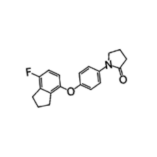 O=C1CCCN1c1ccc(Oc2ccc(F)c3c2CCC3)cc1